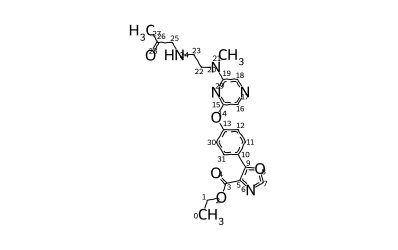 CCOC(=O)c1ncoc1-c1ccc(Oc2cncc(N(C)CCNCC(C)=O)n2)cc1